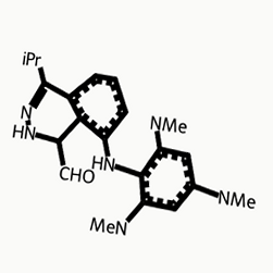 CNc1cc(NC)c(Nc2cccc3c2C(C=O)NN=C3C(C)C)c(NC)c1